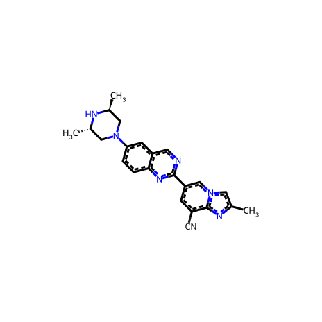 Cc1cn2cc(-c3ncc4cc(N5C[C@H](C)N[C@@H](C)C5)ccc4n3)cc(C#N)c2n1